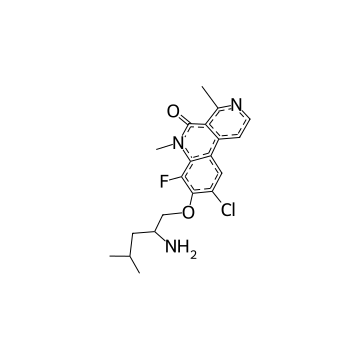 Cc1nccc2c1c(=O)n(C)c1c(F)c(OCC(N)CC(C)C)c(Cl)cc21